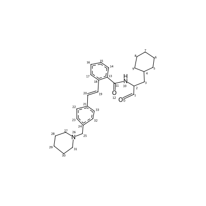 O=CC(CC1CCCCC1)NC(=O)c1ccccc1C=Cc1ccc(CN2CCCCC2)cc1